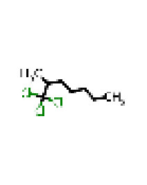 CCCCC[C](C)C(Cl)(Cl)Cl